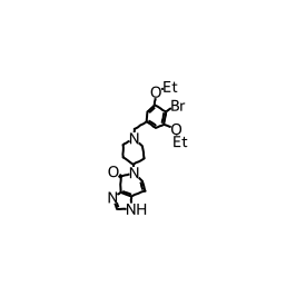 CCOc1cc(CN2CCC(n3ccc4[nH]cnc4c3=O)CC2)cc(OCC)c1Br